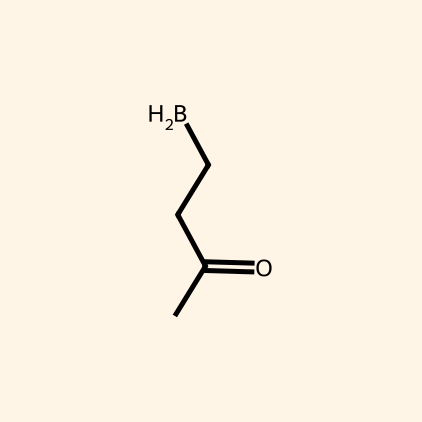 BCCC(C)=O